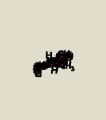 COC(=O)c1cc(S(=O)(=O)Nc2ncnc3cc(N4CCN(Cc5ccccc5-c5ccc(Cl)cc5)CC4)ccc23)cc(C(F)(F)F)c1N[C@H](CCN(C)C)CSc1ccccc1